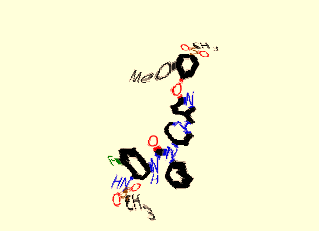 COc1cc(S(C)(=O)=O)ccc1Oc1ccc(CN2CCC(N(C(=O)Nc3ccc(F)c(NS(C)(=O)=O)c3)c3ccccc3)CC2)cn1